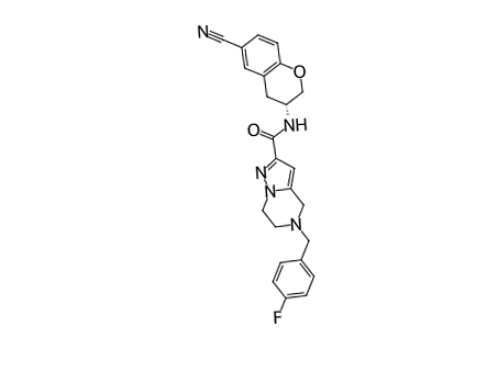 N#Cc1ccc2c(c1)C[C@@H](NC(=O)c1cc3n(n1)CCN(Cc1ccc(F)cc1)C3)CO2